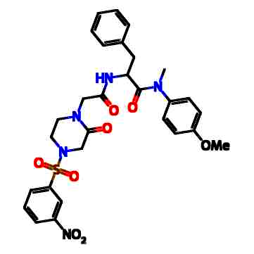 COc1ccc(N(C)C(=O)C(Cc2ccccc2)NC(=O)CN2CCN(S(=O)(=O)c3cccc([N+](=O)[O-])c3)CC2=O)cc1